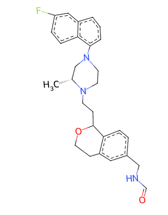 C[C@@H]1CN(c2cccc3cc(F)ccc23)CCN1CCC1OCCc2cc(CNC=O)ccc21